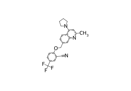 Cc1cc(N2CCCC2)c2ccc(COc3ccc(C(F)(F)F)cc3C#N)cc2n1